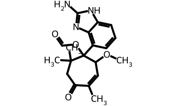 COC1C=C(C)C(=O)CC(C)(C)C1(OC=O)c1cccc2[nH]c(N)nc12